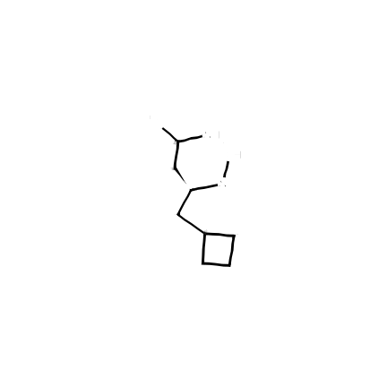 CN[C@H](CC(C)N)CC1CCC1